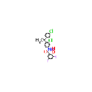 C=C(c1ccc(Cl)cc1)c1ccc(NC(=O)c2cc(I)cc(I)c2O)cc1Cl